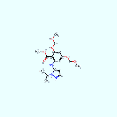 COCOc1cc(Nc2ccnn2C(C)C)c(C(=O)OC)c(OCOC)c1